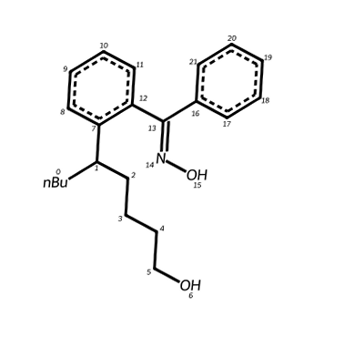 CCCCC(CCCCO)c1ccccc1C(=NO)c1ccccc1